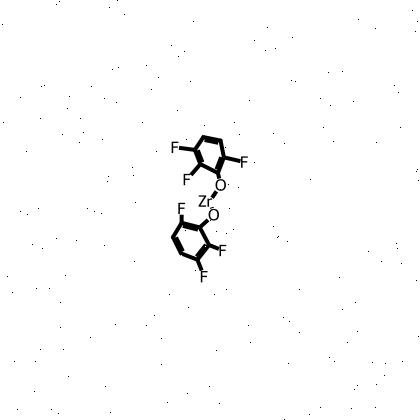 Fc1ccc(F)c([O][Zr][O]c2c(F)ccc(F)c2F)c1F